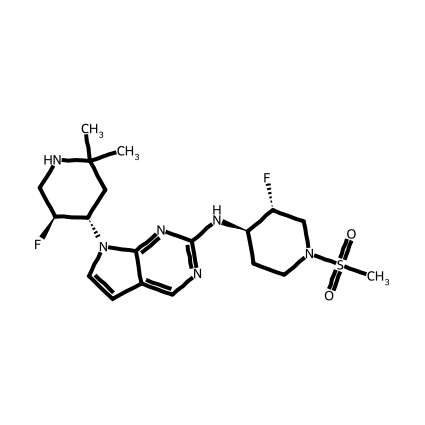 CC1(C)C[C@H](n2ccc3cnc(N[C@@H]4CCN(S(C)(=O)=O)C[C@H]4F)nc32)[C@@H](F)CN1